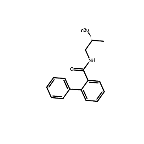 CCCC[C@H](C)CNC(=O)c1ccccc1-c1ccccc1